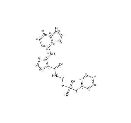 O=C(NCCS(=O)(=O)Cc1ccccc1)c1sccc1Nc1ccnc2[nH]ccc12